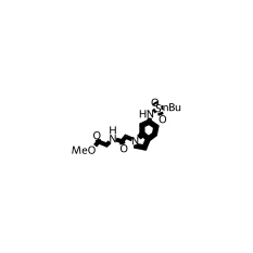 CCCCS(=O)(=O)Nc1ccc2ccn(CC(=O)NCC(=O)OC)c2c1